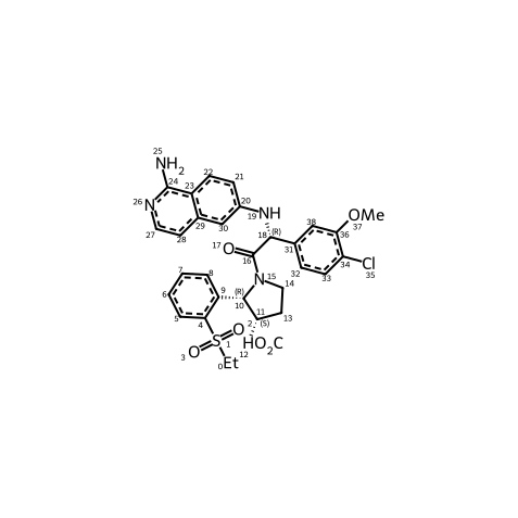 CCS(=O)(=O)c1ccccc1[C@H]1[C@@H](C(=O)O)CCN1C(=O)[C@H](Nc1ccc2c(N)nccc2c1)c1ccc(Cl)c(OC)c1